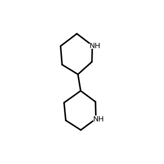 C1CNCC(C2CCCNC2)C1